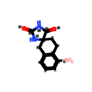 Bc1cccc2c1CCC1(C2)NC(=O)NC1=O